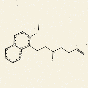 C=CCCC(O)CCc1c(OC)ccc2ccccc12